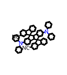 N#Cc1ccc2c(c1)C1(C3=C(c4ccc(N(c5ccccc5)c5ccccc5)cc41)C1(c4cc(N(c5ccccc5)c5ccccc5)ccc43)c3ccccc3-c3ccc(C#N)cc31)c1ccccc1-2